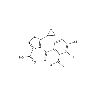 C[S+]([O-])c1c(C(=O)c2c(C(=O)O)noc2C2CC2)ccc(Cl)c1Cl